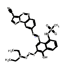 CCN(CC)OOSc1cc(/N=N/c2ccc3nnc4c(C#N)cnn4c3c2)c2c(NS(C)(=O)=O)cccc2c1O